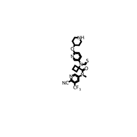 CN(C(=O)C1(N(C=S)c2ccc(OC3CCNCC3)nc2)CCC1)c1cnc(C#N)c(C(F)(F)F)c1